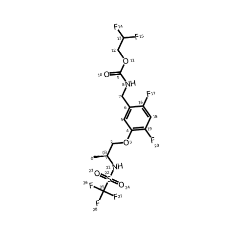 C[C@@H](COc1cc(CNC(=O)OCC(F)F)c(F)cc1F)NS(=O)(=O)C(F)(F)F